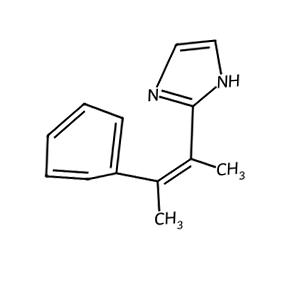 CC(=C(C)c1ncc[nH]1)c1ccccc1